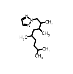 C[C](C)CCC(C)CC(C)C(C)Cn1nccn1